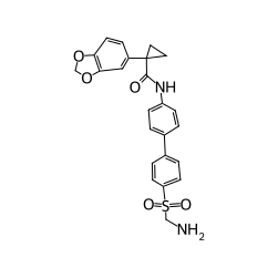 NCS(=O)(=O)c1ccc(-c2ccc(NC(=O)C3(c4ccc5c(c4)OCO5)CC3)cc2)cc1